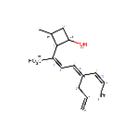 C=CCC(/C=C\C(C)C)=C\C=C(\C(=O)O)C1C(C)CC1O